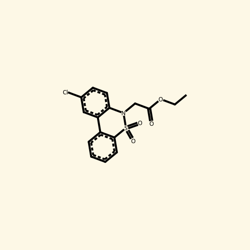 CCOC(=O)CN1c2ccc(Cl)cc2-c2ccccc2S1(=O)=O